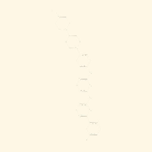 CN1CCN(C2CCN(c3ccc(Nc4nccc(Nc5ccnc(-c6cc(Cl)ccc6F)n5)n4)cc3)CC2)CC1